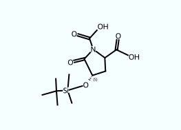 CC(C)(C)[Si](C)(C)O[C@H]1CC(C(=O)O)N(C(=O)O)C1=O